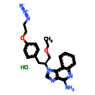 CCOC[C@H](Cc1ccc(OCCN=[N+]=[N-])cc1)n1cnc2c(N)nc3ccccc3c21.Cl